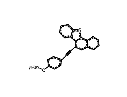 CCCCCCOc1ccc(C#Cc2cc3ccccc3c3sc4ccccc4c23)cc1